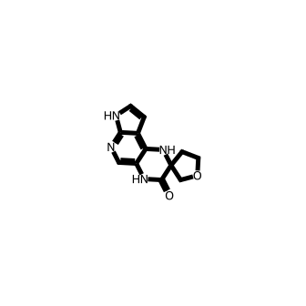 O=C1Nc2cnc3[nH]ccc3c2NC12CCOC2